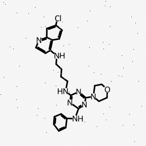 Clc1ccc2c(NCCCCNc3nc(Nc4ccccc4)nc(N4CCOCC4)n3)ccnc2c1